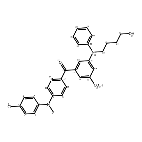 CN(c1ccc(Cl)cc1)c1ccc(C(=O)c2cc(C(=O)O)cc(N(CCCCO)c3ccccc3)c2)nc1